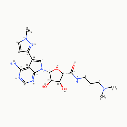 CN(C)CCCNC(=O)[C@H]1O[C@@H](n2cc(-c3ccn(C)n3)c3c(N)ncnc32)[C@H](O)[C@@H]1O